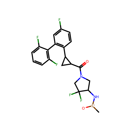 C[S+]([O-])NC1CN(C(=O)C2CC2c2ccc(F)cc2-c2c(F)cccc2F)CC1(F)F